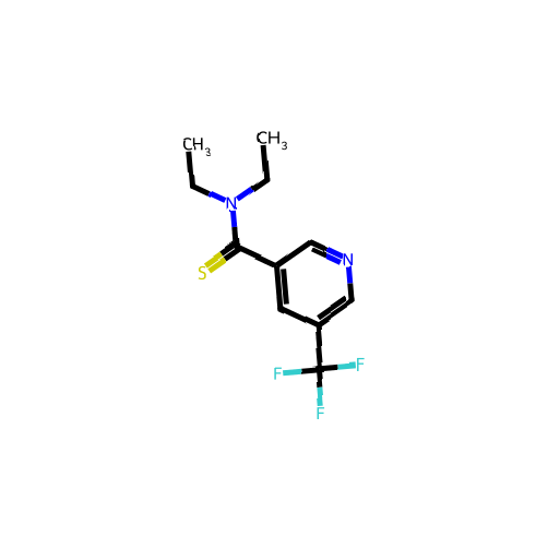 CCN(CC)C(=S)c1cncc(C(F)(F)F)c1